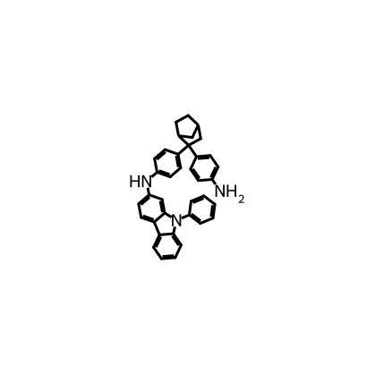 Nc1ccc(C2(c3ccc(Nc4ccc5c6ccccc6n(-c6ccccc6)c5c4)cc3)CC3CCC2C3)cc1